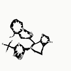 Fc1cccn2nc(C3c4nc[nH]c4CCN3c3nnc(C(F)(F)F)o3)cc12